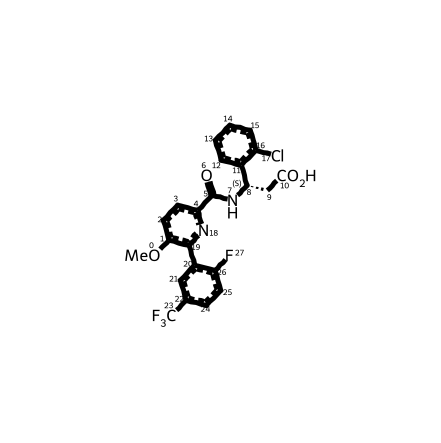 COc1ccc(C(=O)N[C@@H](CC(=O)O)c2ccccc2Cl)nc1-c1cc(C(F)(F)F)ccc1F